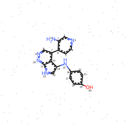 Nc1cnccc1-c1cnnc2[nH]cc(Nc3ccc(O)cc3)c12